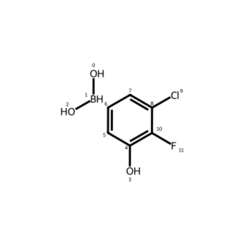 OBO.Oc1cccc(Cl)c1F